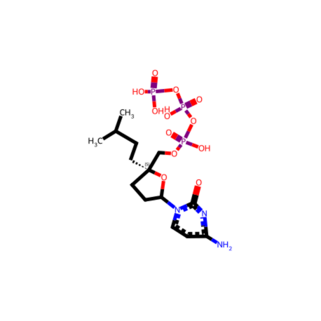 CC(C)CC[C@@]1(COP(=O)(O)OP(=O)(O)OP(=O)(O)O)CCC(n2ccc(N)nc2=O)O1